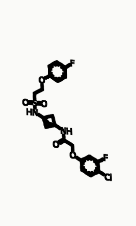 O=C(COc1ccc(Cl)c(F)c1)NC12CC(NS(=O)(=O)CCOc3ccc(F)cc3)(C1)C2